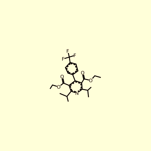 CCOC(=O)c1c(C(C)C)nc(C(C)C)c(C(=O)OCC)c1-c1ccc(C(F)(F)F)cc1